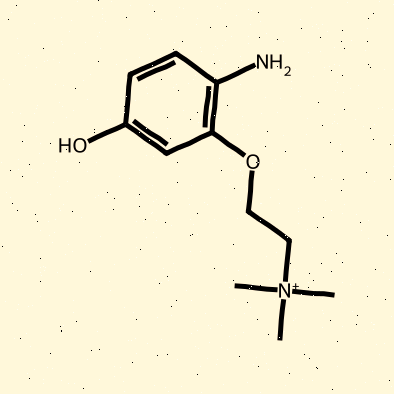 C[N+](C)(C)CCOc1cc(O)ccc1N